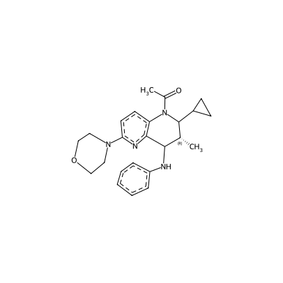 CC(=O)N1c2ccc(N3CCOCC3)nc2C(Nc2ccccc2)[C@@H](C)C1C1CC1